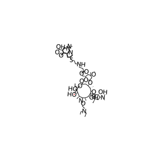 CC[C@H]1OC(=O)[C@H](C)[C@@H](O[C@H]2C[C@@](C)(OC)[C@@H](OC(=O)CCNCCSc3cnc4c(c3)c(=O)c(C(=O)O)cn4N(C)C)[C@H](C)O2)[C@H](C)[C@@H](O[C@@H]2O[C@H](C)C[C@H](N(C)C)[C@H]2O)[C@](C)(O)C[C@@H](C)/C(=N\OCCN(CC)CC)[C@@H](C)[C@@H](O)[C@]1(C)O